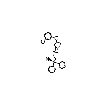 COc1cccc(OC2CCN(C(C)(C)CCC(C#N)(c3ccccc3)c3ccccc3)C2)c1